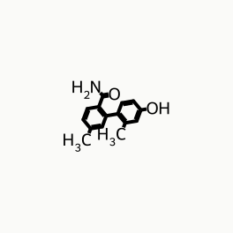 Cc1ccc(C(N)=O)c(-c2ccc(O)cc2C)c1